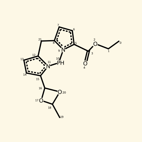 CCOC(=O)c1ccc2n1Pn1c(ccc1C1OC(C)O1)C2